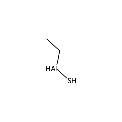 C[CH2][AlH][SH]